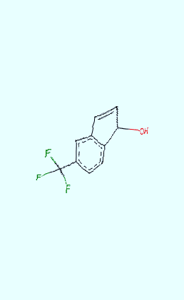 OC1C=Cc2cc(C(F)(F)F)ccc21